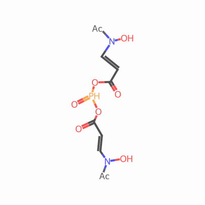 CC(=O)N(O)C=CC(=O)O[PH](=O)OC(=O)C=CN(O)C(C)=O